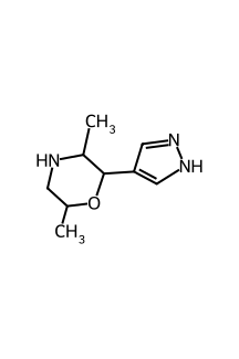 CC1CNC(C)C(c2cn[nH]c2)O1